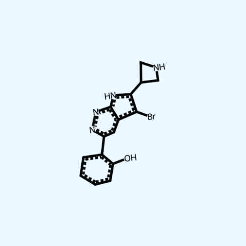 Oc1ccccc1-c1cc2c(Br)c(C3CNC3)[nH]c2nn1